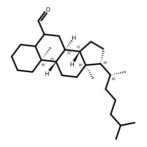 CC(C)CCC[C@@H](C)[C@H]1CC[C@H]2[C@@H]3CC(C=O)C4CCCC[C@]4(C)[C@H]3CC[C@]12C